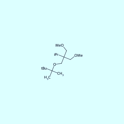 COCC(COC)(COC(C)(C)C(C)(C)C)C(C)C